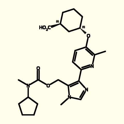 Cc1nc(-c2ncn(C)c2COC(=O)N(C)C2CCCC2)ccc1O[C@H]1CCC[C@H](C(=O)O)C1